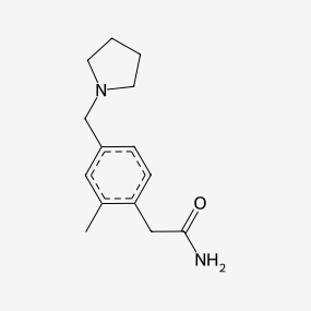 Cc1cc(CN2CCCC2)ccc1CC(N)=O